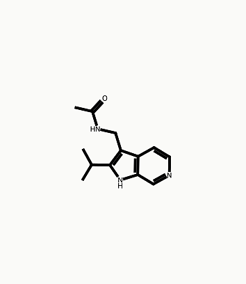 CC(=O)NCc1c(C(C)C)[nH]c2cnccc12